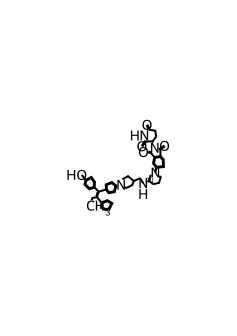 CCC(=C(c1ccc(O)cc1)c1ccc(N2CCC(CN[C@@H]3CCCN(c4ccc5c(c4)C(=O)N(C4CCC(=O)NC4=O)C5=O)C3)CC2)cc1)c1ccccc1